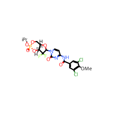 COc1c(Cl)cc(C(=O)Nc2ccn(C3O[C@@H]4COP(=O)(OC(C)C)O[C@H]4C3(F)F)c(=O)n2)cc1Cl